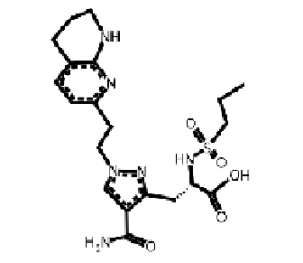 CCCS(=O)(=O)N[C@@H](Cc1nn(CCc2ccc3c(n2)NCCC3)cc1C(N)=O)C(=O)O